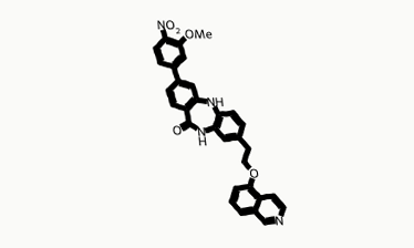 COc1cc(-c2ccc3c(c2)Nc2ccc(CCOc4cccc5cnccc45)cc2NC3=O)ccc1[N+](=O)[O-]